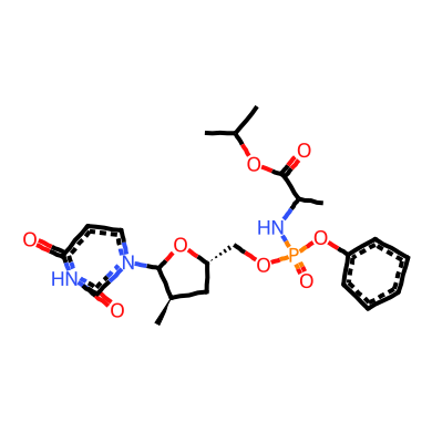 CC(C)OC(=O)C(C)NP(=O)(OC[C@@H]1C[C@@H](C)C(n2ccc(=O)[nH]c2=O)O1)Oc1ccccc1